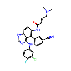 CN(C)C/C=C/C(=O)Nc1ccc2ncnc(Nc3ccc(F)c(Cl)c3)c2c1-c1cccc(C#N)c1